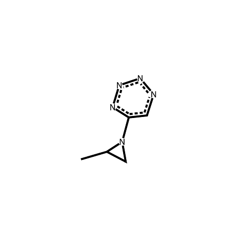 CC1CN1c1cnnnn1